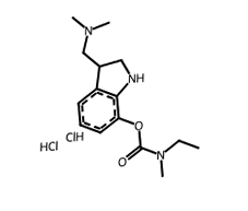 CCN(C)C(=O)Oc1cccc2c1NCC2CN(C)C.Cl.Cl